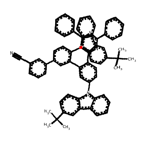 CC(C)(C)c1ccc2c(c1)c1ccccc1n2-c1ccc(-c2nc(-c3ccccc3)nc(-c3ccccc3)n2)c(-c2cc(-c3cccc(C#N)c3)ccc2-n2c3ccccc3c3cc(C(C)(C)C)ccc32)c1